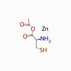 CC(=O)OC(=O)[C@@H](N)CS.[Zn]